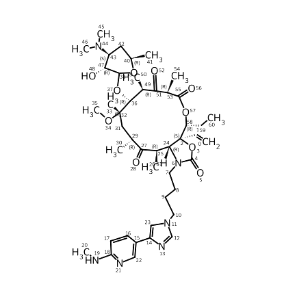 C=C[C@]12OC(=O)N(CCCCn3cnc(-c4ccc(NC)nc4)c3)[C@@H]1[C@@H](C)C(=O)[C@H](C)C[C@](C)(OC)[C@H](OC1O[C@H](C)C[C@H](N(C)C)[C@H]1O)[C@@H](C)C(=O)[C@@H](C)C(=O)O[C@@H]2CC